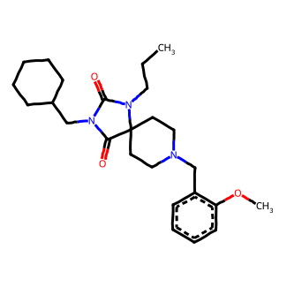 CCCN1C(=O)N(CC2CCCCC2)C(=O)C12CCN(Cc1ccccc1OC)CC2